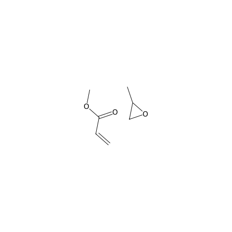 C=CC(=O)OC.CC1CO1